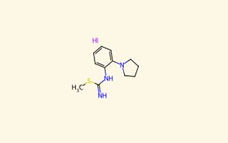 CSC(=N)Nc1ccccc1N1CCCC1.I